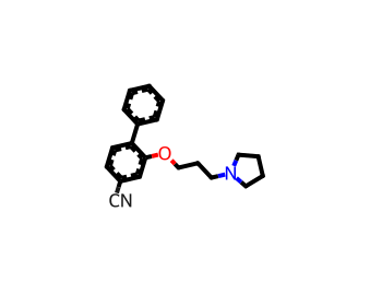 N#Cc1ccc(-c2ccccc2)c(OCCCN2CCCC2)c1